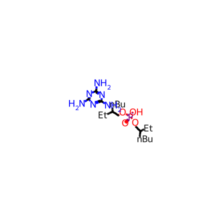 CCCCC(CC)COP(=O)(O)OCC(CC)CCCC.Nc1nc(N)nc(N)n1